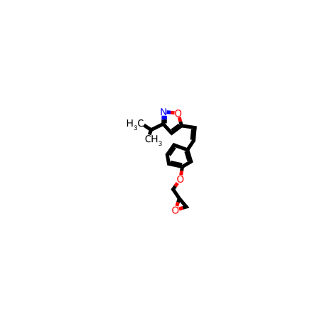 CC(C)c1cc(/C=C\c2cccc(OCC3CO3)c2)on1